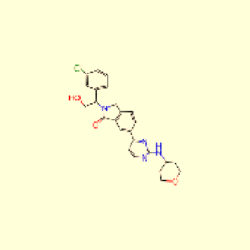 O=C1c2cc(-c3ccnc(NC4CCOCC4)n3)ccc2CN1C(CO)c1cccc(Cl)c1